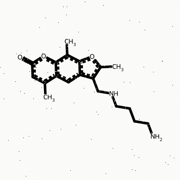 Cc1oc2c(C)c3oc(=O)cc(C)c3cc2c1CNCCCCN